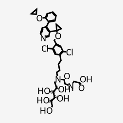 CN(CC(=O)O)CC(=O)N(CCCCc1cc(Cl)c(COC2(c3cnccc3-c3ccccc3OC3CC3)CC2)cc1Cl)C[C@H](O)[C@@H](O)[C@H](O)[C@H](O)CO